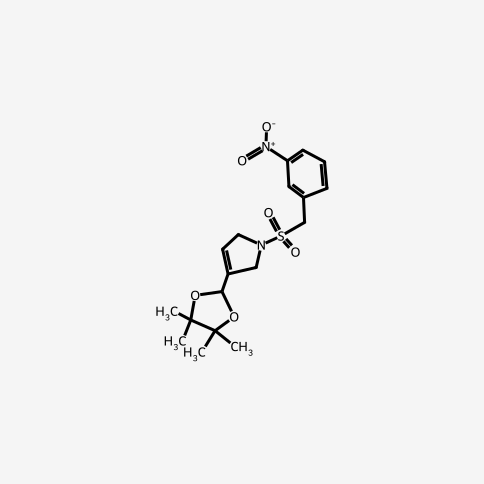 CC1(C)OC(C2=CCN(S(=O)(=O)Cc3cccc([N+](=O)[O-])c3)C2)OC1(C)C